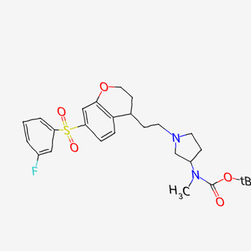 CN(C(=O)OC(C)(C)C)C1CCN(CCC2CCOc3cc(S(=O)(=O)c4cccc(F)c4)ccc32)C1